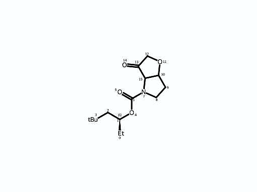 CC[C@@H](CC(C)(C)C)OC(=O)N1CCC2OCC(=O)C21